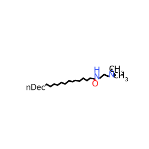 CCCCCCCCCCCCCCCCCCCCCCCC(=O)NCCCN(C)C